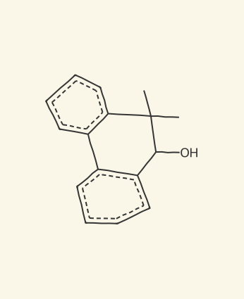 CC1(C)c2ccccc2-c2ccccc2C1O